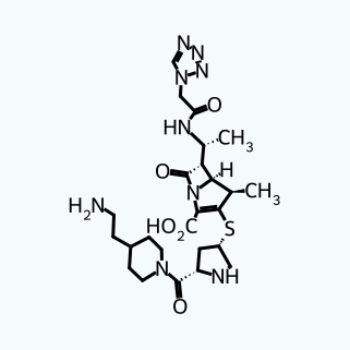 C[C@@H](NC(=O)Cn1cnnn1)[C@H]1C(=O)N2C(C(=O)O)=C(S[C@@H]3CN[C@H](C(=O)N4CCC(CCN)CC4)C3)[C@H](C)[C@H]12